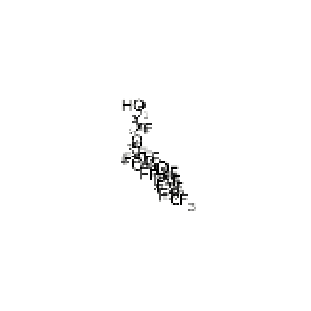 OCC[C@H](F)COCC(F)(F)OC(F)(F)C(F)(F)OC(F)(F)C(F)(F)C(F)(F)C(F)(F)F